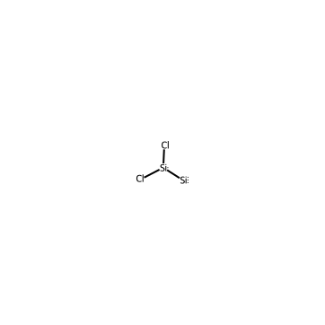 [Si][Si](Cl)Cl